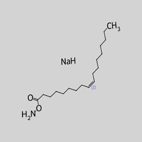 CCCCCCCC/C=C\CCCCCCCC(=O)ON.[NaH]